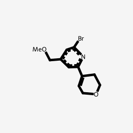 COCc1cc(Br)nc(C2=CCOCC2)c1